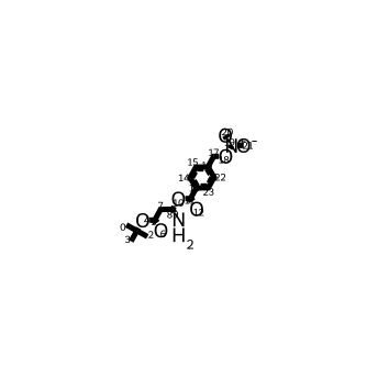 CC(C)(C)OC(=O)CC(N)OC(=O)c1ccc(CO[N+](=O)[O-])cc1